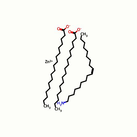 CCCCCCCC/C=C\CCCCCCCCN.CCCCCCCCCCCCCCCCCC(=O)[O-].CCCCCCCCCCCCCCCCCC(=O)[O-].[Zn+2]